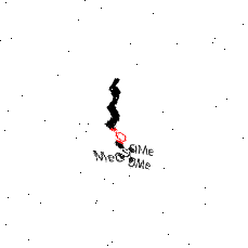 CC=CC=CCOC[Si](OC)(OC)OC